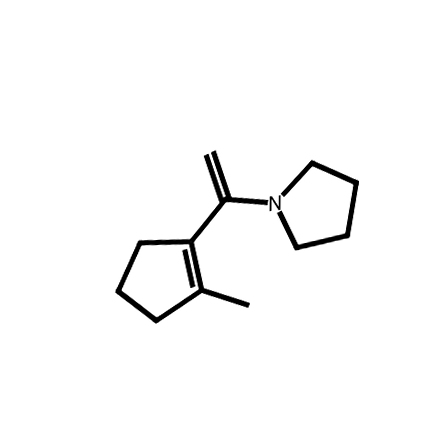 C=C(C1=C(C)CCC1)N1CCCC1